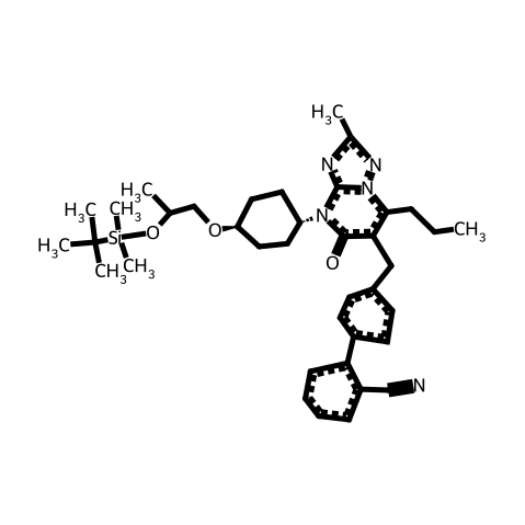 CCCc1c(Cc2ccc(-c3ccccc3C#N)cc2)c(=O)n([C@H]2CC[C@H](OCC(C)O[Si](C)(C)C(C)(C)C)CC2)c2nc(C)nn12